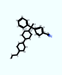 CCCC1CCC(C2CCC(C(C)(c3ccccc3)c3ccc(C#N)cc3)CC2)CC1